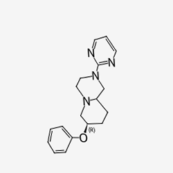 c1ccc(O[C@@H]2CCC3CN(c4ncccn4)CCN3C2)cc1